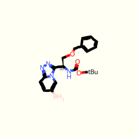 Bc1ccc2nnc([C@@H](COCc3ccccc3)NC(=O)OC(C)(C)C)n2c1